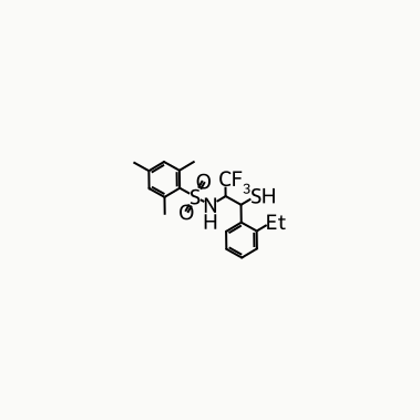 CCc1ccccc1C(S)C(NS(=O)(=O)c1c(C)cc(C)cc1C)C(F)(F)F